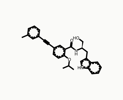 Cc1cccc(C#Cc2ccc(OC(C)C)c(C(=O)N[C@@H](CO)Cc3c[nH]c4ccccc34)c2)c1